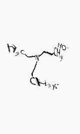 CN(C)C.[K+].[OH-]